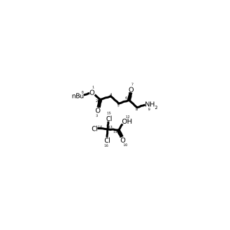 CCCCOC(=O)CCC(=O)CN.O=C(O)C(Cl)(Cl)Cl